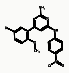 COc1ccc(Br)cc1-c1cc(Nc2ccc([N+](=O)[O-])cc2)nc(N)n1